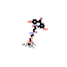 CC(C)(C)OC(=O)COCCNC(=O)CCC(=O)N1Cc2cc(O)ccc2-c2c(c2=O)-c2ccc(O)cc21